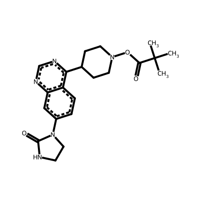 CC(C)(C)C(=O)ON1CCC(c2ncnc3cc(N4CCNC4=O)ccc23)CC1